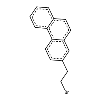 BrCCc1ccc2c(ccc3ccccc32)c1